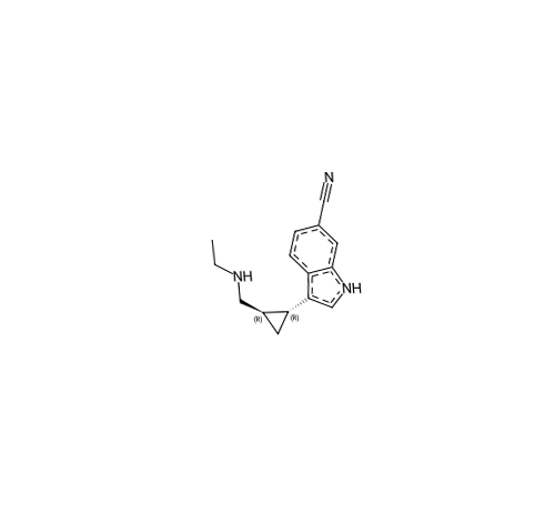 CCNC[C@@H]1C[C@H]1c1c[nH]c2cc(C#N)ccc12